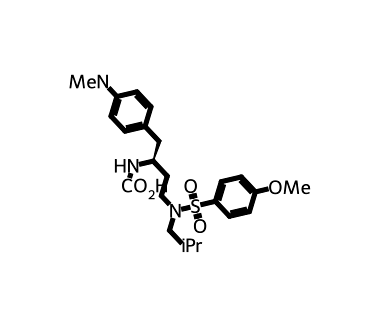 CNc1ccc(C[C@@H](CCN(CC(C)C)S(=O)(=O)c2ccc(OC)cc2)NC(=O)O)cc1